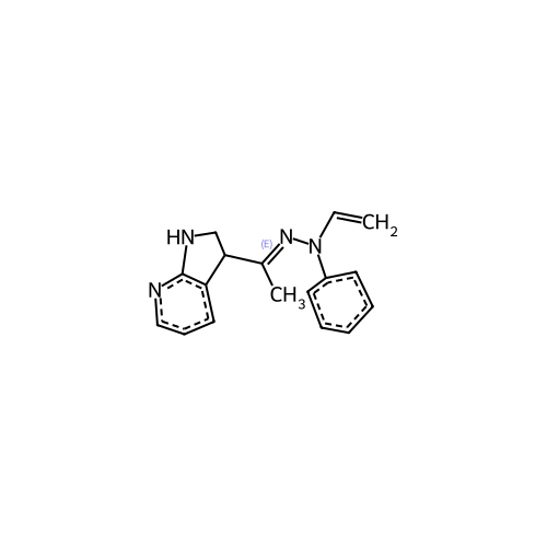 C=CN(/N=C(\C)C1CNc2ncccc21)c1ccccc1